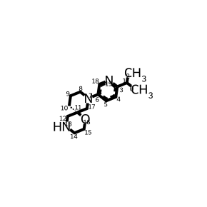 CC(C)c1ccc(N2CCC[C@]3(CNCCO3)C2)cn1